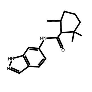 CC1CCCC(C)(C)C1C(=O)Nc1ccc2cn[nH]c2c1